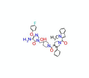 Cn1c(C(=O)N2CC[C@@H](C(=O)N3CCC(O)(Cn4cnc(Oc5ccc(F)cc5)c(N)c4=O)CC3)[C@H](c3ccccc3)C2)cc2ccccc21